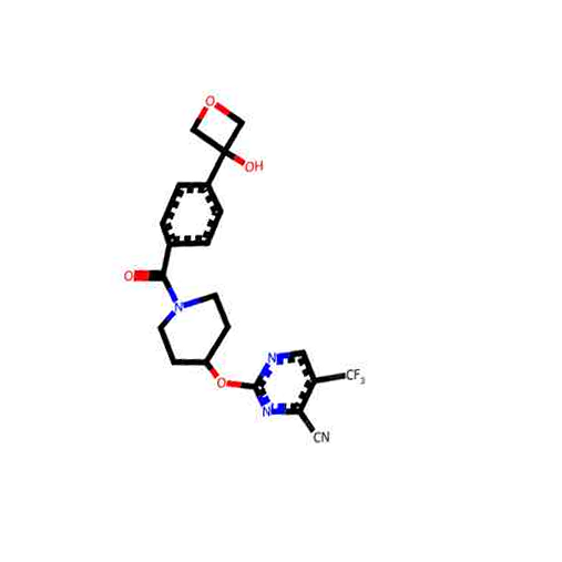 N#Cc1nc(OC2CCN(C(=O)c3ccc(C4(O)COC4)cc3)CC2)ncc1C(F)(F)F